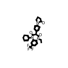 CCN1C(=O)C(c2ccc(N3CCCC3=O)cc2)C(=O)N(C2=CCCC=C2)c2cc(C(F)(F)F)ccc21